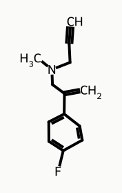 C#CCN(C)CC(=C)c1ccc(F)cc1